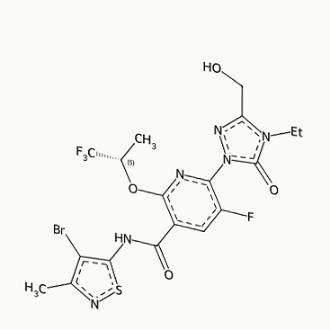 CCn1c(CO)nn(-c2nc(O[C@@H](C)C(F)(F)F)c(C(=O)Nc3snc(C)c3Br)cc2F)c1=O